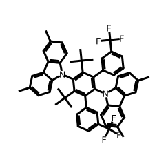 Cc1ccc2c(c1)c1cc(C)ccc1n2-c1c(-c2cccc(C(F)(F)F)c2)c(C(C)(C)C)c(-n2c3ccc(C)cc3c3cc(C)ccc32)c(C(C)(C)C)c1-c1cccc(C(F)(F)F)c1